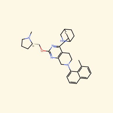 Cc1cccc2cccc(N3CCc4c(nc(OC[C@@H]5CCCN5C)nc4C4CC5CCC4NC5)C3)c12